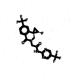 O=C(CN1C[C@@]2(C[C@@H]2F)c2cc(C(F)(F)F)ccc2C1=O)Nc1ncc(C(F)(F)F)cn1